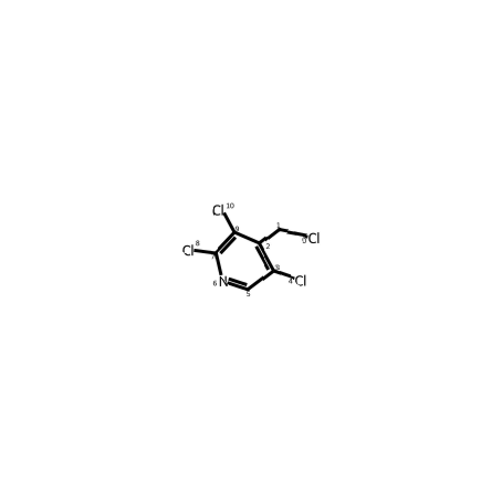 ClCc1c(Cl)cnc(Cl)c1Cl